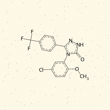 COc1ccc(Cl)cc1-n1c(-c2ccc(C(F)(F)F)cc2)n[nH]c1=O